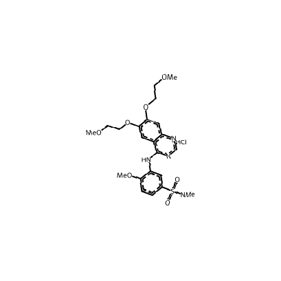 CNS(=O)(=O)c1ccc(OC)c(Nc2ncnc3cc(OCCOC)c(OCCOC)cc23)c1.Cl